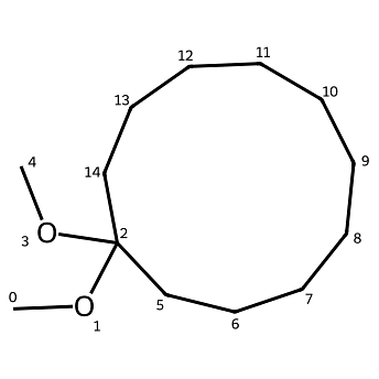 COC1(OC)CCCCCCCCCC1